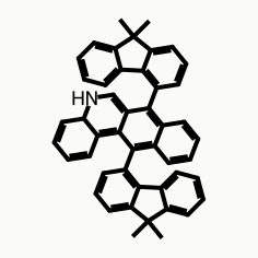 CC1(C)c2ccccc2-c2c(-c3c4c(c(-c5cccc6c5-c5ccccc5C6(C)C)c5ccccc35)=C3C=CC=CC3NC=4)cccc21